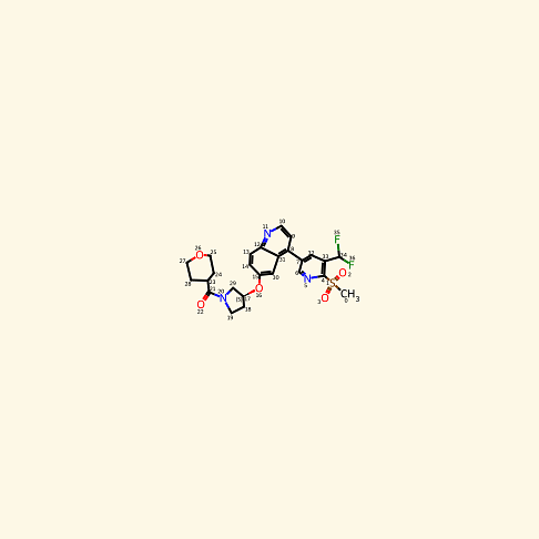 CS(=O)(=O)c1ncc(-c2ccnc3ccc(O[C@H]4CCN(C(=O)C5CCOCC5)C4)cc23)cc1C(F)F